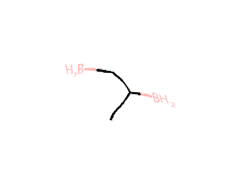 BCC(B)C